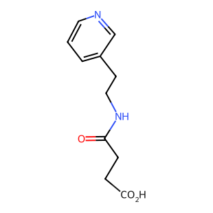 O=C(O)CCC(=O)NCCc1cccnc1